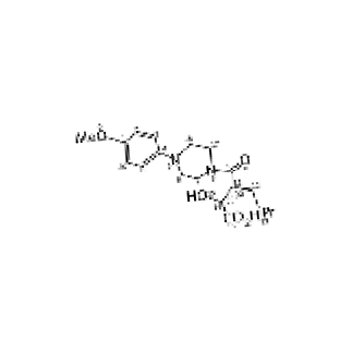 COc1ccc(N2CCN(C(=O)[C@@H](CC(C)C)[C@H](O)C(=O)O)CC2)cc1